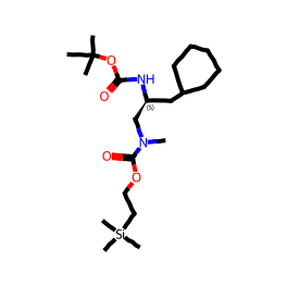 CN(C[C@H](CC1CCCCC1)NC(=O)OC(C)(C)C)C(=O)OCC[Si](C)(C)C